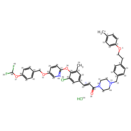 Cc1ccc(OCCc2ccc(CN3CCN(C(=O)/C=C/c4cc(C)c(Oc5ccc(OCc6ccc(OC(F)F)cc6)cn5)c(Cl)c4)CC3)cc2)cc1.Cl